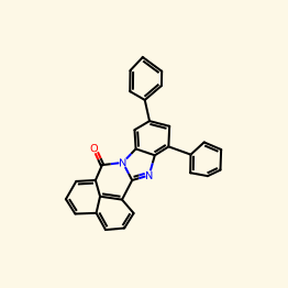 O=c1c2cccc3cccc(c32)c2nc3c(-c4ccccc4)cc(-c4ccccc4)cc3n12